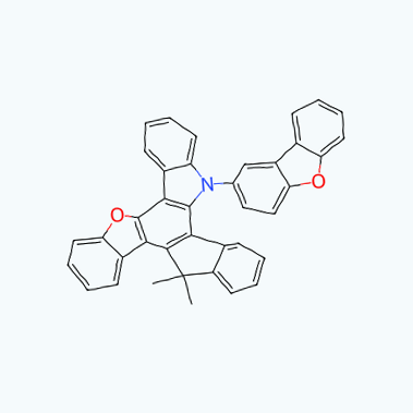 CC1(C)c2ccccc2-c2c1c1c3ccccc3oc1c1c3ccccc3n(-c3ccc4oc5ccccc5c4c3)c21